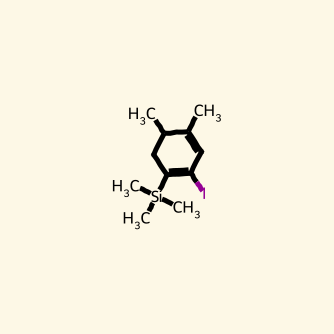 CC1=CC(I)=C([Si](C)(C)C)CC1C